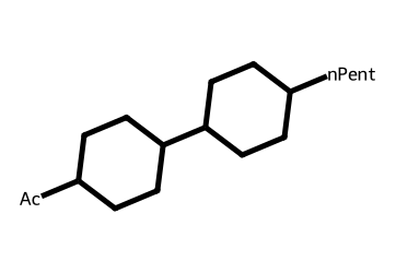 CCCCCC1CCC(C2CCC(C(C)=O)CC2)CC1